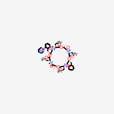 CC(C)C[C@H]1C(=O)O[C@H](Cc2ccccc2N2CC3CC(C2)N3C)C(=O)N(C)[C@@H](CC(C)C)C(=O)O[C@H](C)C(=O)N(C)[C@@H](CC(C)C)C(=O)O[C@H](Cc2ccccc2)C(=O)N(C)[C@@H](CC(C)C)C(=O)O[C@H](C)C(=O)N1C